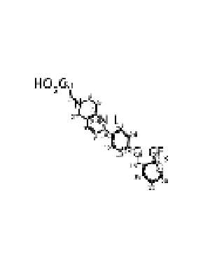 O=C(O)CCN1CCC2=C(C=CC(c3ccc(OCc4ccccc4C(F)(F)F)cc3)N2)C1